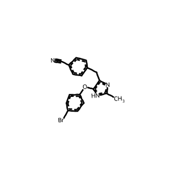 Cc1nc(Cc2ccc(C#N)cc2)c(Oc2ccc(Br)cc2)[nH]1